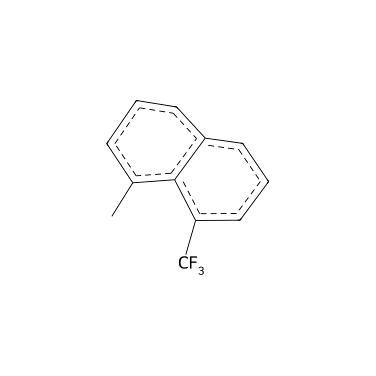 Cc1cccc2cccc(C(F)(F)F)c12